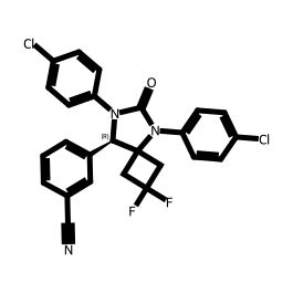 N#Cc1cccc([C@H]2N(c3ccc(Cl)cc3)C(=O)N(c3ccc(Cl)cc3)C23CC(F)(F)C3)c1